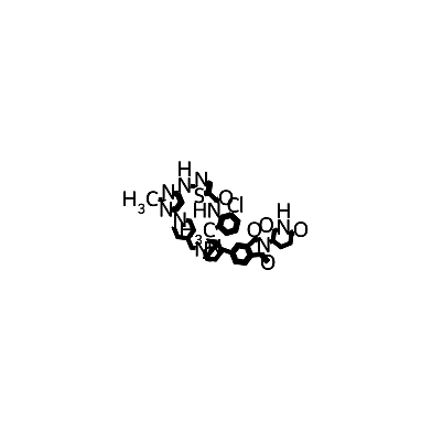 Cc1nc(Nc2ncc(C(=O)Nc3c(C)cccc3Cl)s2)cc(N2CCC(CN3CC4CCC3CN4c3ccc4c(c3)C(=O)N(C3CCC(=O)NC3=O)C4=O)CC2)n1